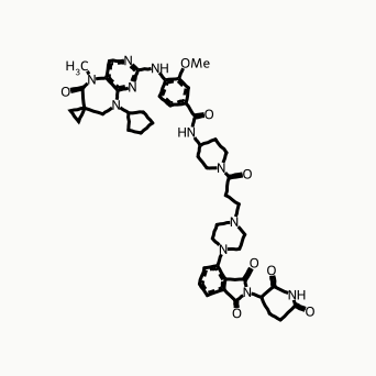 COc1cc(C(=O)NC2CCN(C(=O)CCN3CCN(c4cccc5c4C(=O)N(C4CCC(=O)NC4=O)C5=O)CC3)CC2)ccc1Nc1ncc2c(n1)N(C1CCCC1)CC1(CC1)C(=O)N2C